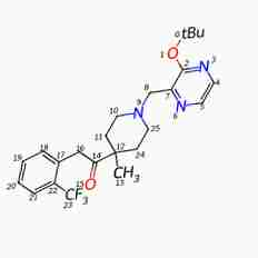 CC(C)(C)Oc1nccnc1CN1CCC(C)(C(=O)Cc2ccccc2C(F)(F)F)CC1